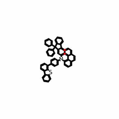 c1ccc(C2(c3ccccc3)c3ccccc3-c3ccc(N(c4ccc(-c5cccc6c5sc5ccccc56)cc4)c4cccc5ccc6ccccc6c45)cc32)cc1